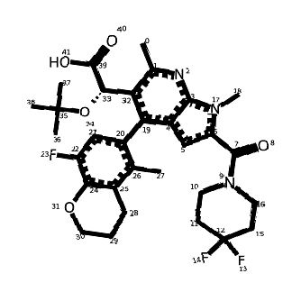 Cc1nc2c(cc(C(=O)N3CCC(F)(F)CC3)n2C)c(-c2cc(F)c3c(c2C)CCCO3)c1[C@H](OC(C)(C)C)C(=O)O